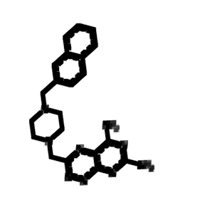 Nc1nc(N)c2nc(CN3CCN(Cc4ccc5ccccc5c4)CC3)nnc2n1